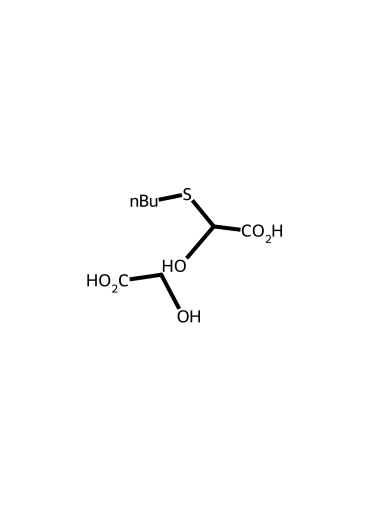 CCCCSC(O)C(=O)O.O=C(O)CO